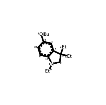 CCN1CC(CC)(CC)c2cc(OCC(C)C)ccc21